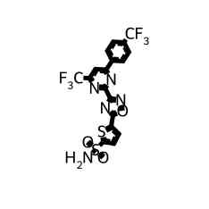 NS(=O)(=O)c1ccc(-c2nc(-c3nc(-c4ccc(C(F)(F)F)cc4)cc(C(F)(F)F)n3)no2)s1